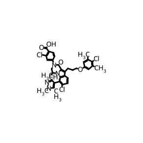 Cc1cc(OCCCc2c3n(c4c(-c5c(C)nn(C)c5C)c(Cl)ccc24)C(C)CN(c2ccc(C(=O)O)c(Cl)c2)C3=O)cc(C)c1Cl